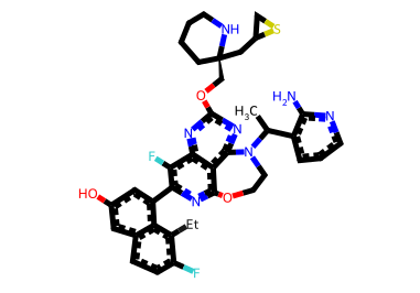 CCc1c(F)ccc2cc(O)cc(-c3nc4c5c(nc(OC[C@@]6(CC7CS7)CCCCN6)nc5c3F)N(C(C)c3cccnc3N)CCO4)c12